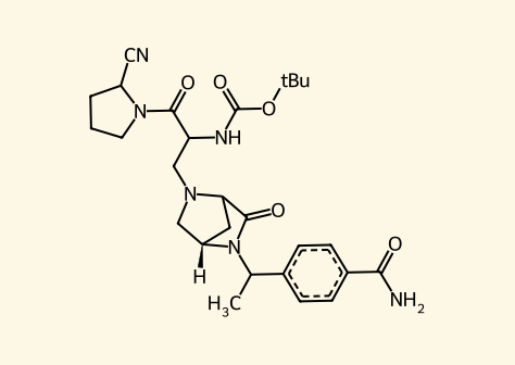 CC(c1ccc(C(N)=O)cc1)N1C(=O)C2C[C@H]1CN2CC(NC(=O)OC(C)(C)C)C(=O)N1CCCC1C#N